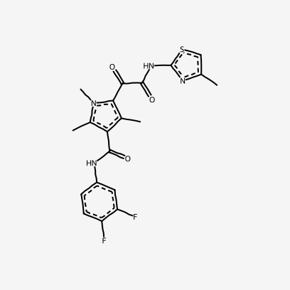 Cc1csc(NC(=O)C(=O)c2c(C)c(C(=O)Nc3ccc(F)c(F)c3)c(C)n2C)n1